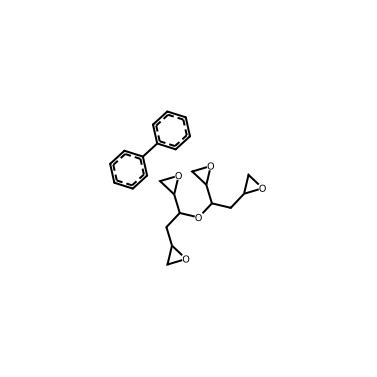 C1OC1CC(OC(CC1CO1)C1CO1)C1CO1.c1ccc(-c2ccccc2)cc1